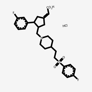 Cl.O=C(O)C=C1CC(CN2CCC(CCS(=O)(=O)c3ccc(F)cc3)CC2)C(c2cccc(F)c2)C1